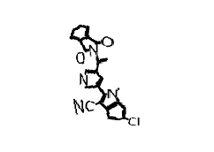 CC(c1cncc(-c2c(C#N)c3ccc(Cl)cc3n2C)c1)N1C(=O)c2ccccc2C1=O